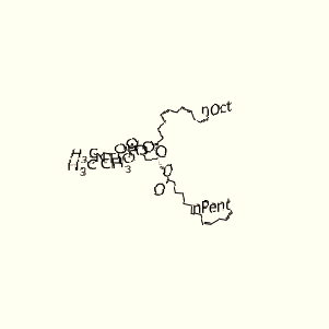 CCCCC/C=C\C/C=C\CCCCCCCC(=O)OC[C@H](COP(=O)(O)OCC[N+](C)(C)C)OC(=O)CCC/C=C\C/C=C\C/C=C\CCCCCCCC